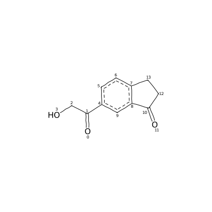 O=C(CO)c1ccc2c(c1)C(=O)CC2